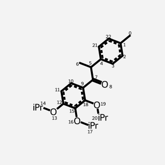 Cc1ccc(C(C)C(=O)c2ccc(OC(C)C)c(OC(C)C)c2OC(C)C)cc1